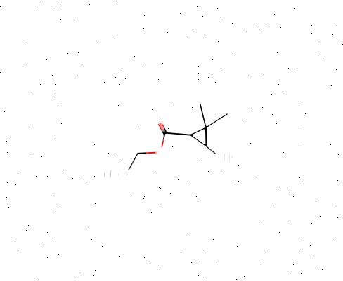 CCCCCCCOC(=O)C1C(C=O)C1(C)C